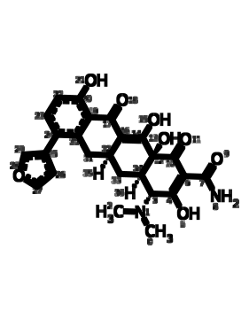 CN(C)[C@H]1C(O)=C(C(N)=O)C(=O)[C@@]2(O)C(O)=C3C(=O)c4c(O)ccc(-c5ccoc5)c4C[C@@H]3C[C@H]12